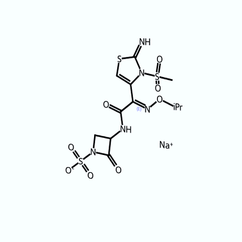 CC(C)O/N=C(/C(=O)NC1CN(S(=O)(=O)[O-])C1=O)c1csc(=N)n1S(C)(=O)=O.[Na+]